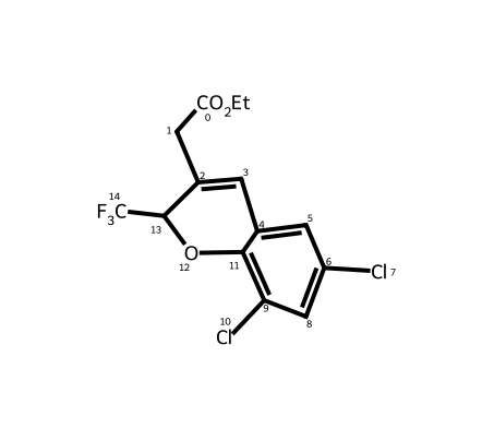 CCOC(=O)CC1=Cc2cc(Cl)cc(Cl)c2OC1C(F)(F)F